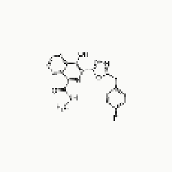 CNC(=O)c1nc(-c2nnc(Cc3ccc(F)cc3)o2)c(O)c2ncccc12